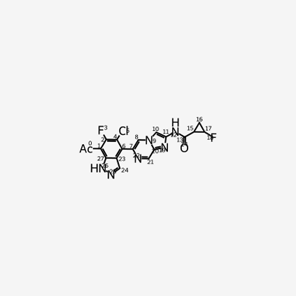 CC(=O)c1c(F)c(Cl)c(-c2cn3cc(NC(=O)C4CC4F)nc3cn2)c2cn[nH]c12